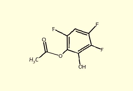 CC(=O)Oc1c(F)cc(F)c(F)c1O